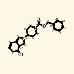 O=C1CC=CC2=CN(C3CCN(C(=O)OCc4ccccc4)CC3)CC12